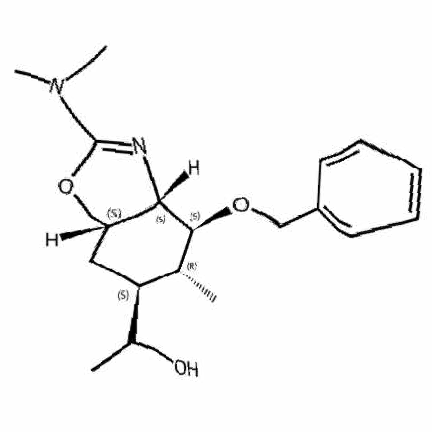 CC(O)[C@H]1C[C@@H]2OC(N(C)C)=N[C@@H]2[C@@H](OCc2ccccc2)[C@@H]1C